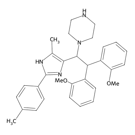 COc1ccccc1C(c1ccccc1OC)C(c1nc(-c2ccc(C)cc2)[nH]c1C)N1CCNCC1